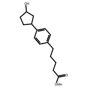 COC(=O)CCCCc1ccc(C2CCC(O)C2)cc1